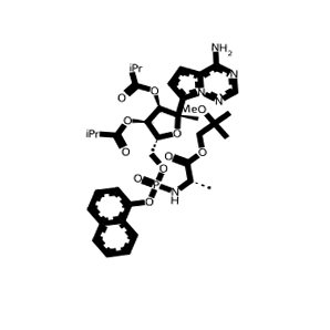 COC(C)(C)COC(=O)[C@H](C)NP(=O)(OC[C@H]1O[C@@](C)(c2ccc3c(N)ncnn23)[C@H](OC(=O)C(C)C)[C@@H]1OC(=O)C(C)C)Oc1cccc2ccccc12